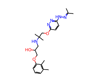 CC(C)=NNc1ccc(OCC(C)(C)NCC(O)COc2cccc(C)c2C)nn1